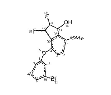 CSc1ccc(Oc2cncc(Br)c2)c2c1C(O)C(F)C2F